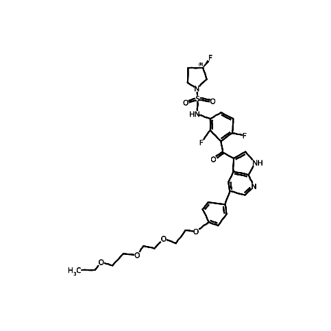 CCOCCOCCOCCOc1ccc(-c2cnc3[nH]cc(C(=O)c4c(F)ccc(NS(=O)(=O)N5CC[C@@H](F)C5)c4F)c3c2)cc1